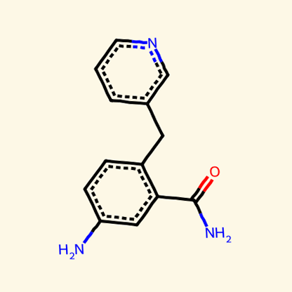 NC(=O)c1cc(N)ccc1Cc1cccnc1